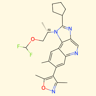 Cc1cc2c(cc1-c1c(C)noc1C)ncc1nc(C3CCCC3)n([C@@H](C)COC(F)F)c12